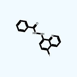 O=C(NNc1ccc(I)c2cccnc12)c1ccccc1